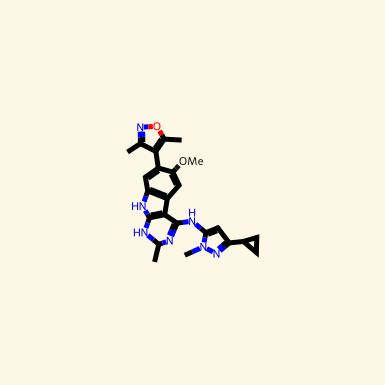 COc1cc2c3c([nH]c2cc1-c1c(C)noc1C)NC(C)N=C3Nc1cc(C2CC2)nn1C